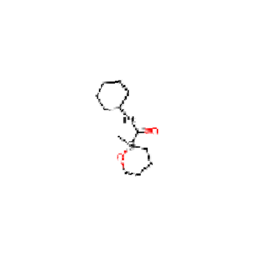 C[Si]1([C](=O)[Pt][CH]2CCCCC2)CCCCO1